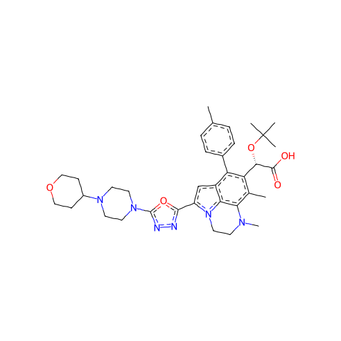 Cc1ccc(-c2c([C@H](OC(C)(C)C)C(=O)O)c(C)c3c4c2cc(-c2nnc(N5CCN(C6CCOCC6)CC5)o2)n4CCN3C)cc1